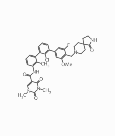 COc1cc(-c2cccc(-c3cccc(NC(=O)c4cn(C)c(=O)n(C)c4=O)c3C)c2Cl)cc(F)c1CN1CCC2(CCNC2=O)CC1